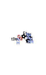 CC[C@@H]1C[C@H](OC(=O)NC(C)(C)C)CC1c1nnc2cnc3[nH]ccc3n12